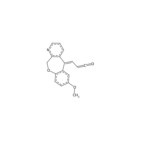 COc1ccc2c(c1)C(=CC=C=O)c1cccnc1CO2